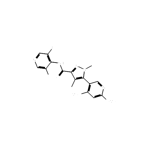 COc1cc(OC)c(-c2c(C)c(C(=O)Nc3c(F)cncc3F)nn2C)cn1